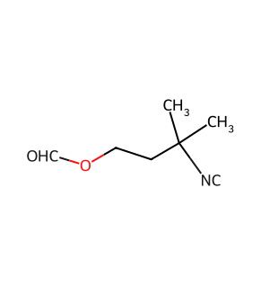 [C-]#[N+]C(C)(C)CCOC=O